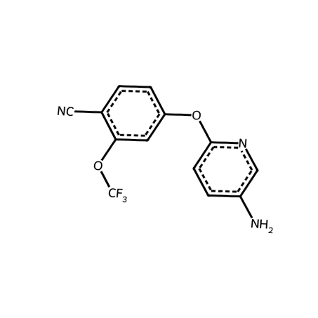 N#Cc1ccc(Oc2ccc(N)cn2)cc1OC(F)(F)F